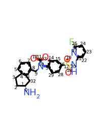 N[C@@H]1CCc2cccc(Cn3c(=O)oc4cc(S(=O)(=O)Nc5cccc(F)n5)ccc43)c2C1